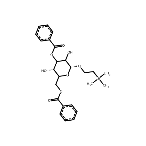 C[Si](C)(C)CCO[C@@H]1OC(COC(=O)c2ccccc2)[C@H](O)C(OC(=O)c2ccccc2)C1O